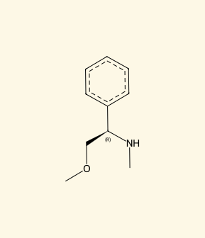 CN[C@@H](COC)c1ccccc1